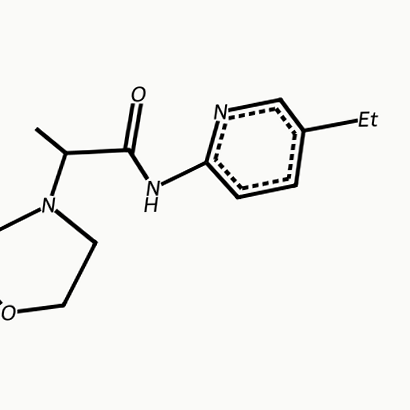 CCc1ccc(NC(=O)C(C)N2CCOCC2)nc1